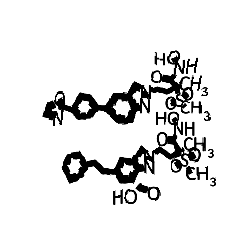 C[C@@](CCn1cc2cc(-c3ccc(-c4ncco4)cc3)ccc2n1)(C(=O)NO)S(C)(=O)=O.C[C@@](CCn1cc2cc(CCc3ccccc3)ccc2n1)(C(=O)NO)S(C)(=O)=O.O=CO